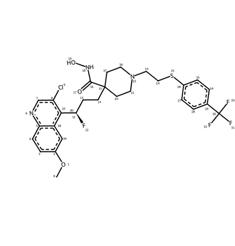 COc1ccc2ncc(Cl)c([C@H](F)CCC3(C(=O)NO)CCN(CCSc4ccc(C(F)(F)F)cc4)CC3)c2c1